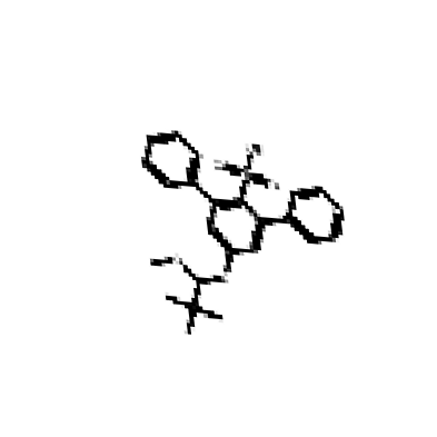 COC(Oc1cc(-c2ccccc2)c(S(=O)(=O)O)c(-c2ccccc2)c1)C(C)(C)C